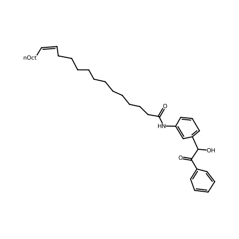 CCCCCCCC/C=C\CCCCCCCCCCCC(=O)Nc1cccc(C(O)C(=O)c2ccccc2)c1